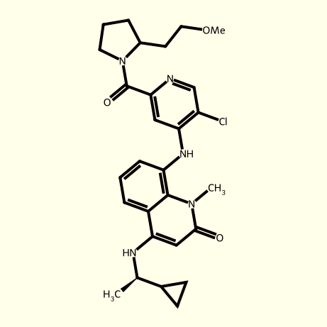 COCCC1CCCN1C(=O)c1cc(Nc2cccc3c(N[C@H](C)C4CC4)cc(=O)n(C)c23)c(Cl)cn1